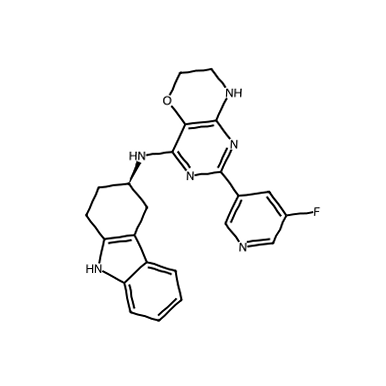 Fc1cncc(-c2nc3c(c(N[C@@H]4CCc5[nH]c6ccccc6c5C4)n2)OCCN3)c1